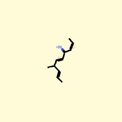 CC=CC(C)/C=C/C(=N)/C=C\C